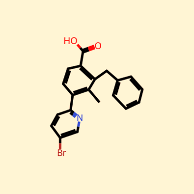 Cc1c(-c2ccc(Br)cn2)ccc(C(=O)O)c1Cc1ccccc1